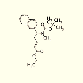 CCOC(=O)C=CCC(c1ccc2ccccc2c1)N(C)C(=O)OC(C)(C)C